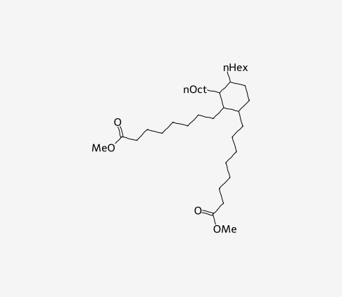 CCCCCCCCC1C(CCCCCC)CCC(CCCCCCCC(=O)OC)C1CCCCCCCC(=O)OC